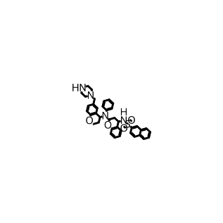 O=C(CC(NS(=O)(=O)c1ccc2ccccc2c1)c1ccccc1)N(c1ccccc1)C1CCOc2ccc(CN3CCNCC3)cc21